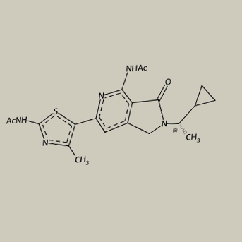 CC(=O)Nc1nc(C)c(-c2cc3c(c(NC(C)=O)n2)C(=O)N([C@@H](C)C2CC2)C3)s1